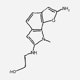 Cn1c(NCCO)cc2ccc3cc(N)oc3c21